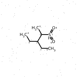 CCC(CC)C(C)[SH](=O)=O